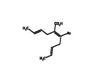 CC=CC/C(C(C)=O)=C(\CC=CC)C(=O)O